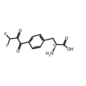 N[C@@H](Cc1ccc(C(=O)C(=O)C(F)F)cc1)C(=O)O